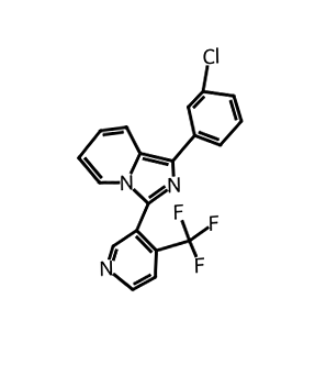 FC(F)(F)c1ccncc1-c1nc(-c2cccc(Cl)c2)c2ccccn12